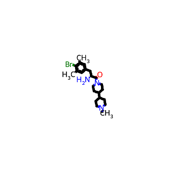 Cc1cc(C[C@@H](N)C(=O)N2CCC(C3CCN(C)CC3)CC2)cc(C)c1Br